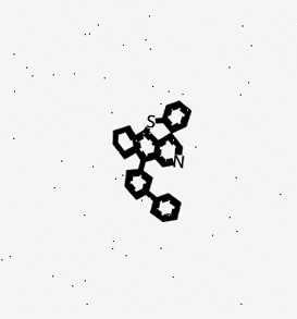 C1=c2c(Sc3ccccc3)c3ccncc3c(-c3cccc(-c4ccccc4)c3)c2=CCC1